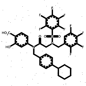 O=C(O)c1ccc(N(Cc2ccc(C3CCCCC3)cc2)C(=O)CN(Cc2cc(F)c(F)c(F)c2F)S(=O)(=O)c2c(F)c(F)c(F)c(F)c2F)cc1O